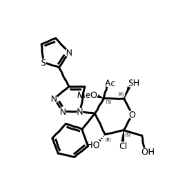 CO[C@@]1(C(C)=O)[C@@H](S)O[C@](Cl)(CO)[C@H](O)C1(c1ccccc1)n1cc(-c2nccs2)nn1